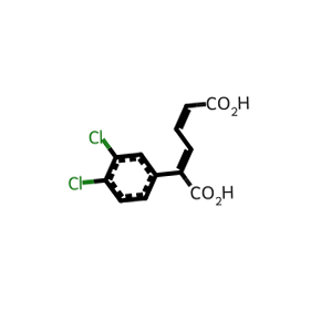 O=C(O)/C=C\C=C(\C(=O)O)c1ccc(Cl)c(Cl)c1